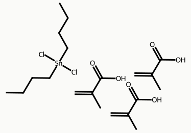 C=C(C)C(=O)O.C=C(C)C(=O)O.C=C(C)C(=O)O.CCC[CH2][Sn]([Cl])([Cl])[CH2]CCC